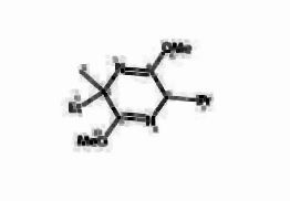 CCC1(C)N=C(OC)C(C(C)C)N=C1OC